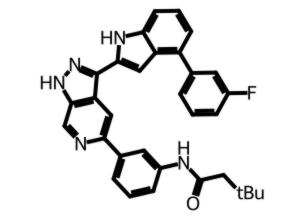 CC(C)(C)CC(=O)Nc1cccc(-c2cc3c(-c4cc5c(-c6cccc(F)c6)cccc5[nH]4)n[nH]c3cn2)c1